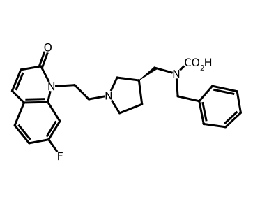 O=C(O)N(Cc1ccccc1)C[C@H]1CCN(CCn2c(=O)ccc3ccc(F)cc32)C1